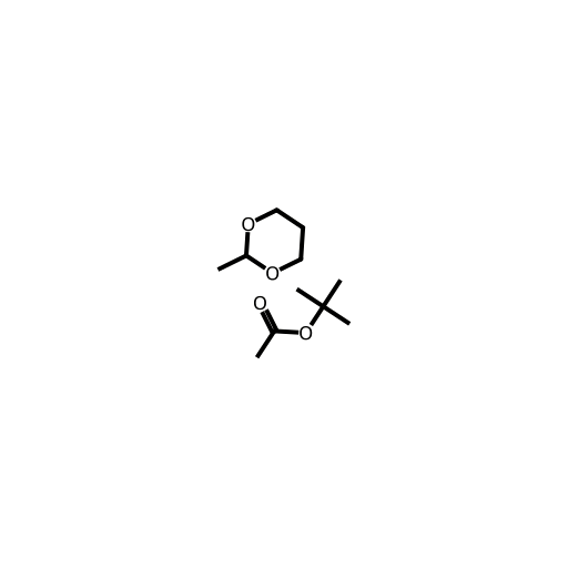 CC(=O)OC(C)(C)C.CC1OCCCO1